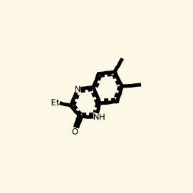 CCc1nc2cc(C)c(C)cc2[nH]c1=O